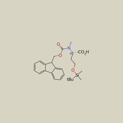 CN(C(=O)OCC1c2ccccc2-c2ccccc21)[C@@H](CCO[Si](C)(C)C(C)(C)C)C(=O)O